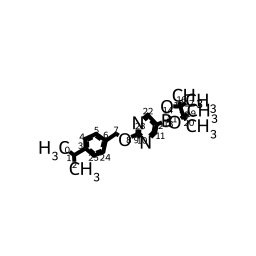 CC(C)c1ccc(COc2ncc(B3OC(C)(C)C(C)(C)O3)cn2)cc1